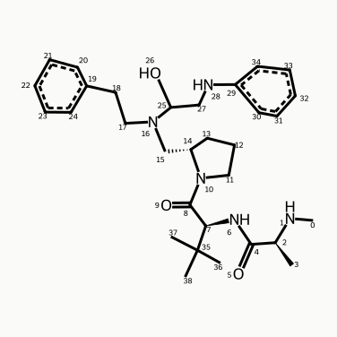 CN[C@@H](C)C(=O)N[C@H](C(=O)N1CCC[C@H]1CN(CCc1ccccc1)C(O)CNc1ccccc1)C(C)(C)C